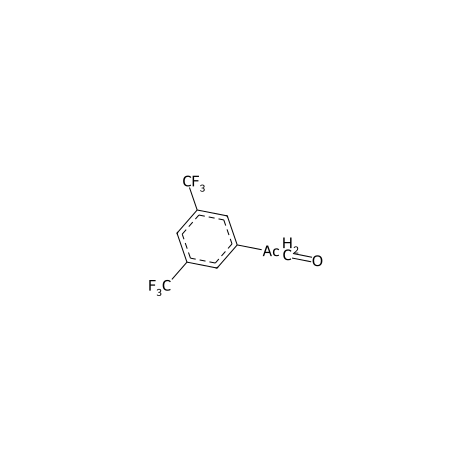 C=O.CC(=O)c1cc(C(F)(F)F)cc(C(F)(F)F)c1